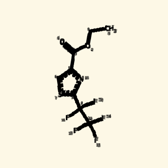 CCOC(=O)c1csc(C(F)(F)C(F)(F)F)n1